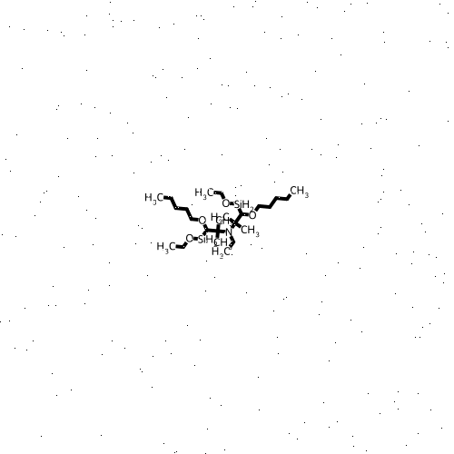 CCCCCOC([SiH2]OCC)C(C)(C)N(CC)C(C)(C)C(OCCCCC)[SiH2]OCC